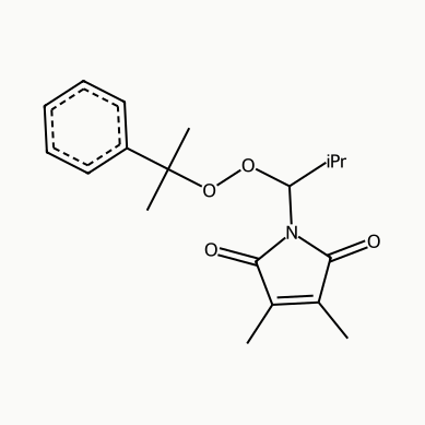 CC1=C(C)C(=O)N(C(OOC(C)(C)c2ccccc2)C(C)C)C1=O